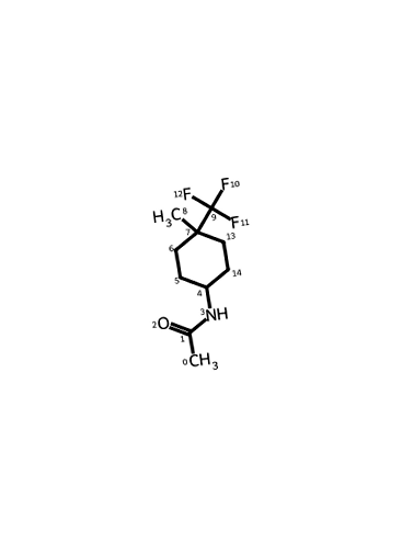 CC(=O)NC1CCC(C)(C(F)(F)F)CC1